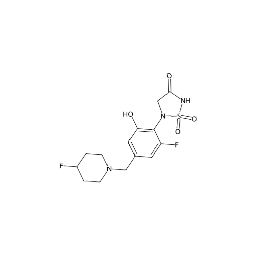 O=C1CN(c2c(O)cc(CN3CCC(F)CC3)cc2F)S(=O)(=O)N1